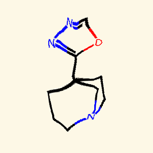 c1nnc(C23CCCN(CC2)C3)o1